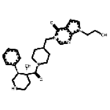 O=C(N1CCC(Cn2cnc3c(ccn3CCO)c2=O)CC1)[C@@]1(O)CCNC[C@H]1c1ccccc1